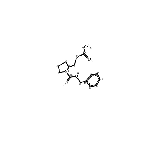 CC(=O)SCC1CCCN1C(=O)OCc1ccccc1